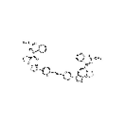 COC(=O)N[C@@H](C(=O)N1CCC[C@H]1c1ncc(-c2ccc(C#Cc3ccc(-c4cnc([C@@H]5CCCN5C(=O)[C@H](NC(=O)OC)c5ccccc5)[nH]4)cn3)cc2)[nH]1)c1ccccc1